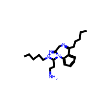 CCCCCC1=NCC2=NN(CCCCC)C(CCN)N2c2ccccc21